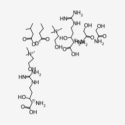 CC(C)CC(=O)[O-].CCCC(=O)[O-].C[N+](C)(C)CCO.C[N+](C)(C)CCO.N=C(N)NCCC(O)[C@H](N)C(=O)O.N=C(N)NCCC(O)[C@H](N)C(=O)O.NC(=O)CO.NC(=O)CO